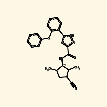 CC1CN(C#N)C(C)[C@@H]1NC(=O)c1cc(-c2ccccc2Sc2ccccc2)[nH]n1